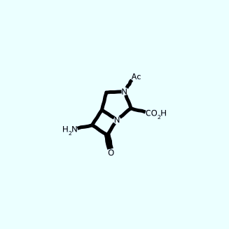 CC(=O)N1CC2C(N)C(=O)N2C1C(=O)O